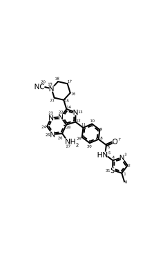 Cc1cnc(NC(=O)c2ccc(-c3nc(C4CCCN(C#N)C4)n4ncnc(N)c34)cc2)s1